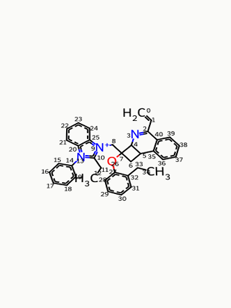 C=CC1=NC2C(CC2(C[n+]2c(CC)n(-c3ccccc3)c3ccccc32)Oc2ccccc2CC)c2ccccc21